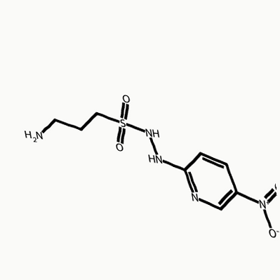 NCCCS(=O)(=O)NNc1ccc([N+](=O)[O-])cn1